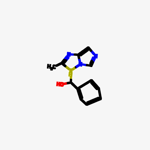 CC1=Nc2cncn2[SH]1C(O)c1ccccc1